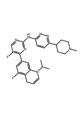 CC(C)N1C=CCc2c(F)cc(-c3nc(Nc4ccc(C5CCN(C)CC5)nn4)ncc3F)cc21